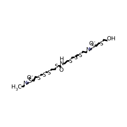 CC/N=C/[S+]([O-])CCSCSCSCCSC(=O)NCCSCSCSCC/N=C/[S+]([O-])CCSCCO